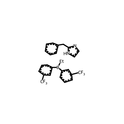 CCB(c1cccc(C(F)(F)F)c1)c1cccc(C(F)(F)F)c1.c1ccc(Cc2ncc[nH]2)cc1